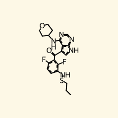 CCCSNc1ccc(F)c(C(=O)c2c[nH]c3ncnc(NC4CCOCC4)c23)c1F